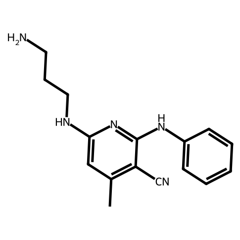 Cc1cc(NCCCN)nc(Nc2ccccc2)c1C#N